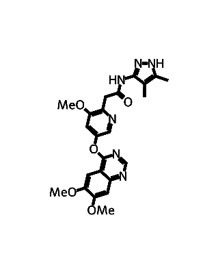 COc1cc2ncnc(Oc3cnc(CC(=O)Nc4n[nH]c(C)c4C)c(OC)c3)c2cc1OC